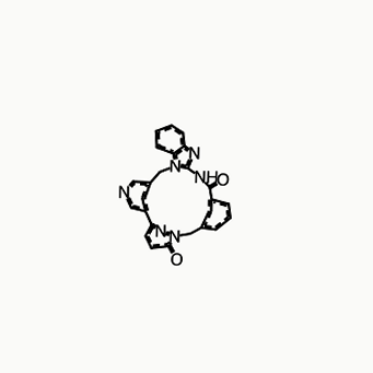 O=C1Nc2nc3ccccc3n2Cc2cncc(c2)-c2ccc(=O)n(n2)Cc2cccc1c2